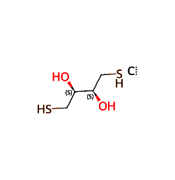 O[C@H](CS)[C@H](O)CS.[C]